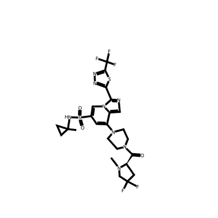 CN1CC(F)(F)C[C@@H]1C(=O)N1CCN(c2cc(S(=O)(=O)NC3(C)CC3)cn3c(-c4nnc(C(F)(F)F)s4)ncc23)CC1